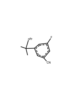 CCCC(C)(C)c1cc(F)cc(C#N)c1